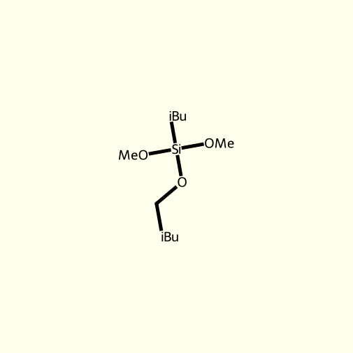 CCC(C)CO[Si](OC)(OC)C(C)CC